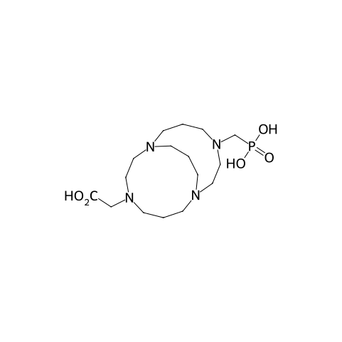 O=C(O)CN1CCCN2CCCN(CCCN(CP(=O)(O)O)CC2)CC1